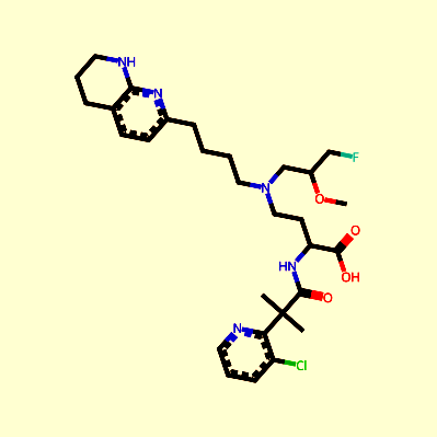 COC(CF)CN(CCCCc1ccc2c(n1)NCCC2)CCC(NC(=O)C(C)(C)c1ncccc1Cl)C(=O)O